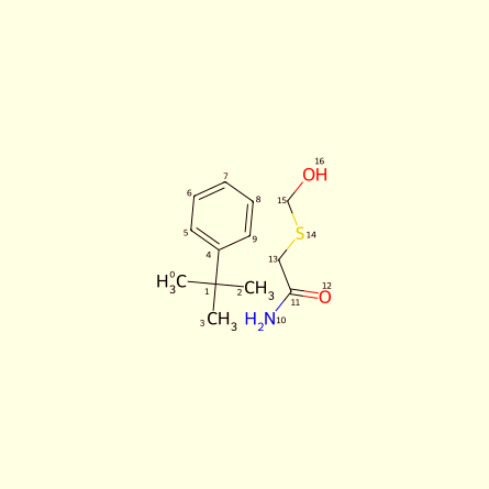 CC(C)(C)c1ccccc1.NC(=O)CSCO